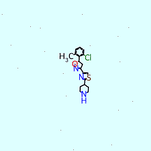 Cc1cccc(Cl)c1C1CC(c2csc(C3CCNCC3)n2)=NO1